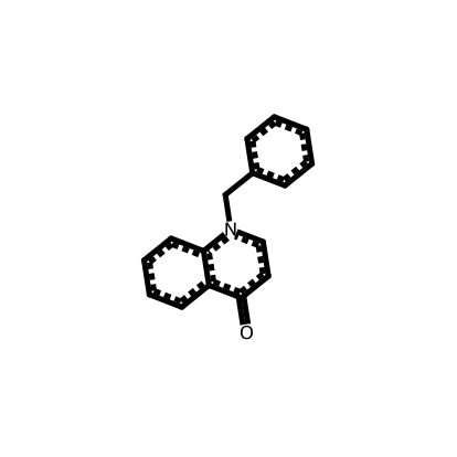 O=c1ccn(Cc2ccccc2)c2ccccc12